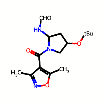 Cc1noc(C)c1C(=O)N1CC(OC(C)(C)C)CC1NC=O